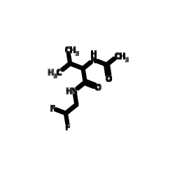 CC(=O)NC(C(=O)NCC(F)F)C(C)C